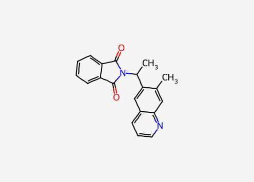 Cc1cc2ncccc2cc1C(C)N1C(=O)c2ccccc2C1=O